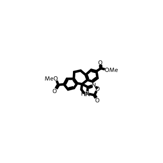 COC(=O)c1ccc2c(c1)CCc1cc(C(=O)OC)ccc1C2(CC(C)C)c1noc(=O)[nH]1